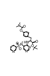 CN(C)C(=O)Oc1ccc(C[C@H](Nc2ncncc2N(C)S(=O)(=O)c2cccnc2)C(=O)OC(C)(C)C)cc1